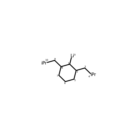 [Li][CH]1C(CC(C)C)CCCC1CC(C)C